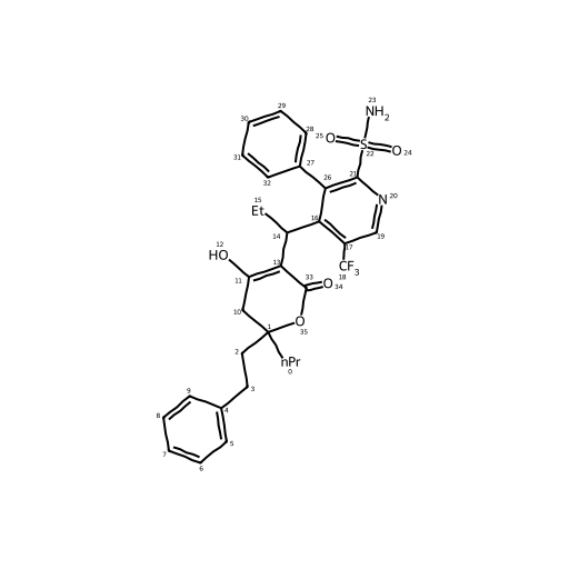 CCCC1(CCc2ccccc2)CC(O)=C(C(CC)c2c(C(F)(F)F)cnc(S(N)(=O)=O)c2-c2ccccc2)C(=O)O1